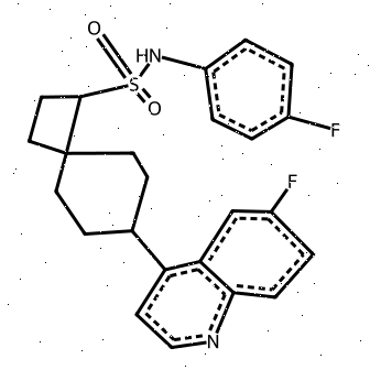 O=S(=O)(Nc1ccc(F)cc1)C1CCC12CCC(c1ccnc3ccc(F)cc13)CC2